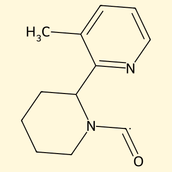 Cc1cccnc1C1CCCCN1[C]=O